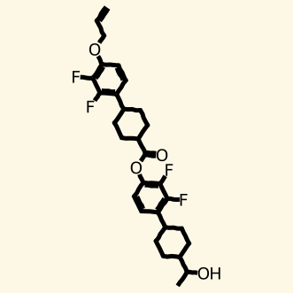 C=CCOc1ccc(C2CCC(C(=O)Oc3ccc(C4CCC(C(C)O)CC4)c(F)c3F)CC2)c(F)c1F